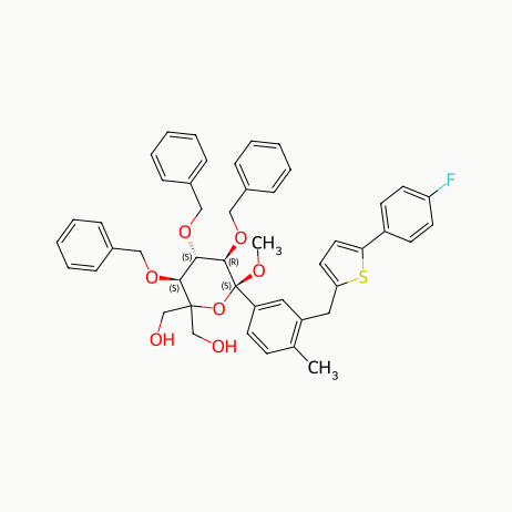 CO[C@@]1(c2ccc(C)c(Cc3ccc(-c4ccc(F)cc4)s3)c2)OC(CO)(CO)[C@@H](OCc2ccccc2)[C@H](OCc2ccccc2)[C@H]1OCc1ccccc1